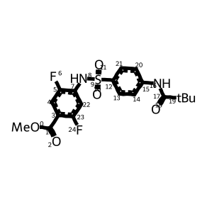 COC(=O)c1cc(F)c(NS(=O)(=O)c2ccc(NC(=O)C(C)(C)C)cc2)cc1F